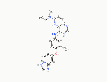 CCCN(CC(C)C)c1ccc2ncnc(Nc3ccc(Oc4ccn5ncnc5c4)c(C)c3)c2n1